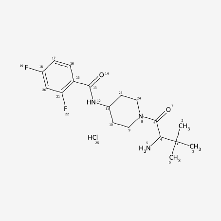 CC(C)(C)C(N)C(=O)N1CCC(NC(=O)c2ccc(F)cc2F)CC1.Cl